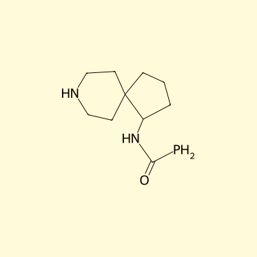 O=C(P)NC1CCCC12CCNCC2